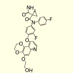 NC(=O)C1(C(=O)N(c2ccc(F)cc2)c2ccc(Oc3ccnc4cc(OCCO)c5c(c34)OCCO5)c(F)c2)CC1